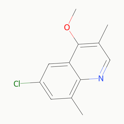 COc1c(C)cnc2c(C)cc(Cl)cc12